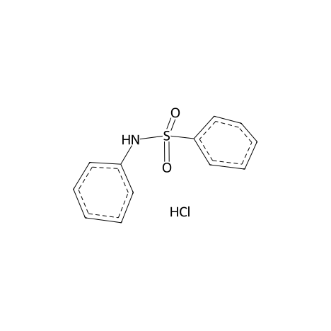 Cl.O=S(=O)(Nc1ccccc1)c1ccccc1